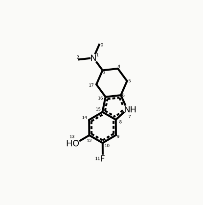 CN(C)C1CCc2[nH]c3cc(F)c(O)cc3c2C1